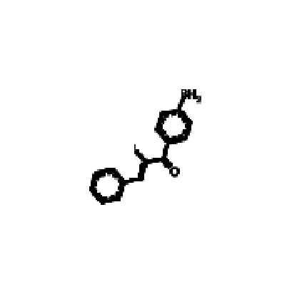 Bc1ccc(C(=O)C(I)=Cc2ccccc2)cc1